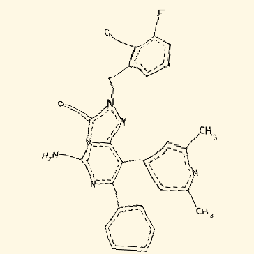 Cc1cc(-c2c(-c3ccccc3)nc(N)n3c(=O)n(Cc4cccc(F)c4Cl)nc23)cc(C)n1